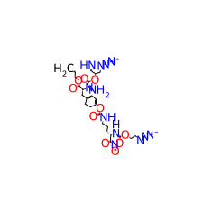 C=CCOC(=O)[C@H](CC1=CC=C(OC(=O)NCCC[C@H](NC(=O)OCCN=[N+]=[N-])C(=O)N=O)CC1)N(N)C(=O)OC(C=N)CN=[N+]=[N-]